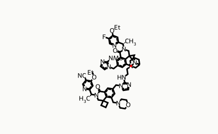 CCOc1cc([C@H](C)N2CC3(CC3)c3c(CN4C5CC4CN(CCNc4nccn4Cc4cc(CN6CCOCC6)c6c(c4)C(=O)N([C@@H](C)c4cc(OCC)c(C#N)cn4)CC64CCC4)C5)cc(Cn4ccnc4NC)cc3C2=O)ncc1F